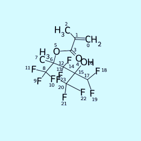 C=C(C)C(=O)OC(C)(C(F)(F)F)C(F)(F)C(O)(C(F)F)C(F)(F)F